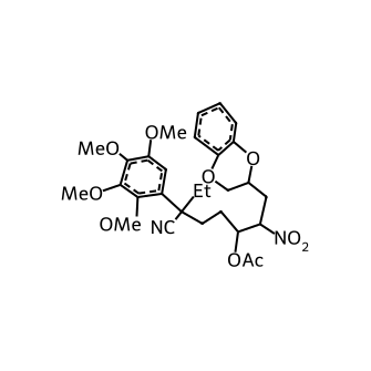 CCC(C#N)(CCC(OC(C)=O)C(CC1COc2ccccc2O1)[N+](=O)[O-])c1cc(OC)c(OC)c(OC)c1OC